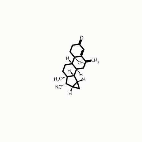 C=C1C[C@H]2[C@@H]3[C@@H]4C[C@@H]4[C@H](C#N)[C@@]3(C)CC[C@@H]2[C@@]2(C)CCC(=O)C=C12